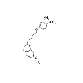 COc1ccc2c(c1)OC(C[CH]CCOc1ccc(C)c(N)c1)CC2